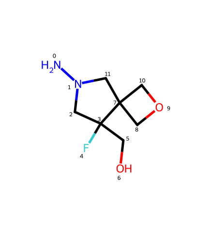 NN1CC(F)(CO)C2(COC2)C1